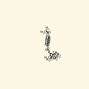 C=C(C)C(=O)OCC(F)(F)C(F)(F)C(F)(F)C(F)(F)C(F)(F)C(F)(F)COC(=O)CCc1cc(C(C)(C)C)c(O)c(C(C)(C)C)c1